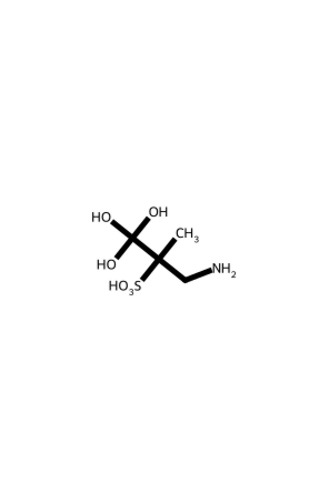 CC(CN)(C(O)(O)O)S(=O)(=O)O